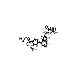 COC(=O)c1ccc(-c2cncc3cc(/C=C4\SC(=S)NC4=O)oc23)cc1OC